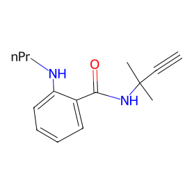 C#CC(C)(C)NC(=O)c1ccccc1NCCC